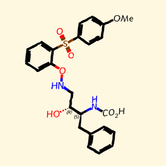 COc1ccc(S(=O)(=O)c2ccccc2ONC[C@@H](O)[C@H](Cc2ccccc2)NC(=O)O)cc1